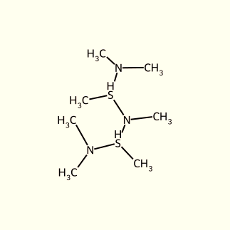 CN(C)[SH](C)N(C)[SH](C)N(C)C